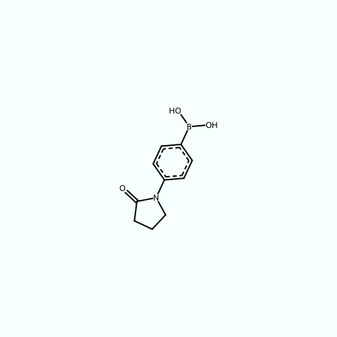 O=C1CCCN1c1ccc(B(O)O)cc1